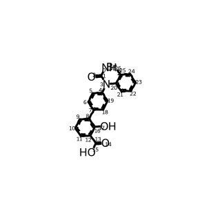 NC(=O)N(c1ccc(-c2cccc(C(=O)O)c2O)cc1)c1ccccc1Br